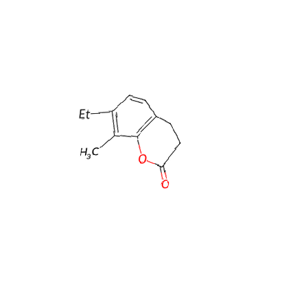 CCc1ccc2c(c1C)OC(=O)CC2